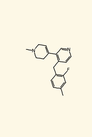 Cc1ccc(Cc2ccncc2C2=CCN(C)CC2)c(F)c1